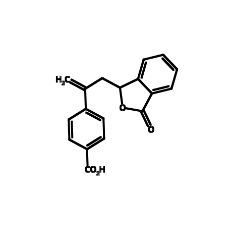 C=C(CC1OC(=O)c2ccccc21)c1ccc(C(=O)O)cc1